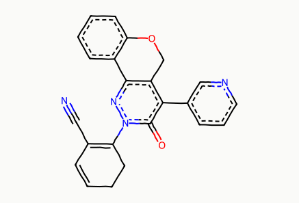 N#CC1=C(n2nc3c(c(-c4cccnc4)c2=O)COc2ccccc2-3)CCC=C1